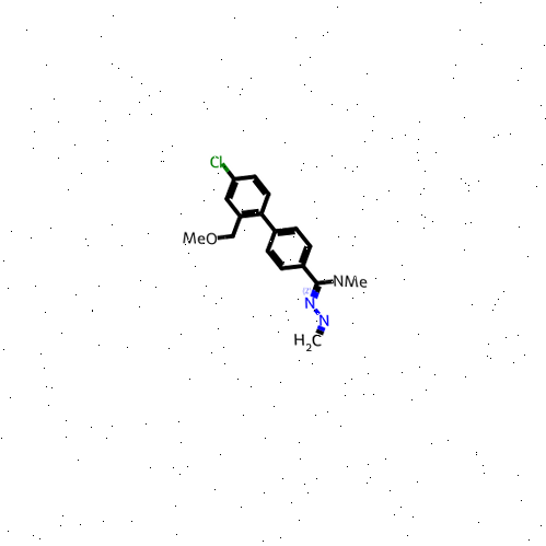 C=N/N=C(\NC)c1ccc(-c2ccc(Cl)cc2COC)cc1